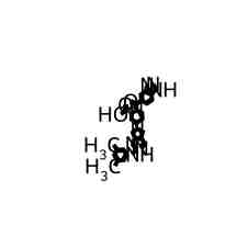 Cc1cc(C)cc(Nc2ncc3c(n2)CN([C@@H]2CCN(C(=O)c4ccc5[nH]nnc5c4)[C@H](C(=O)O)C2)C3)c1